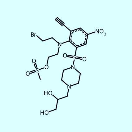 C#Cc1cc([N+](=O)[O-])cc(S(=O)(=O)N2CCN(CC(O)CO)CC2)c1N(CCBr)CCOS(C)(=O)=O